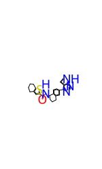 O=C(N[C@@H]1CCCc2cc(-c3ncnc4[nH]ccc34)ccc21)c1cc2c(s1)CCCC2